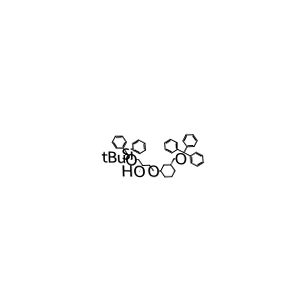 CC(C)(C)[Si](OC[C@@H](O)CO[C@@H]1CCC[C@H](COC(c2ccccc2)(c2ccccc2)c2ccccc2)C1)(c1ccccc1)c1ccccc1